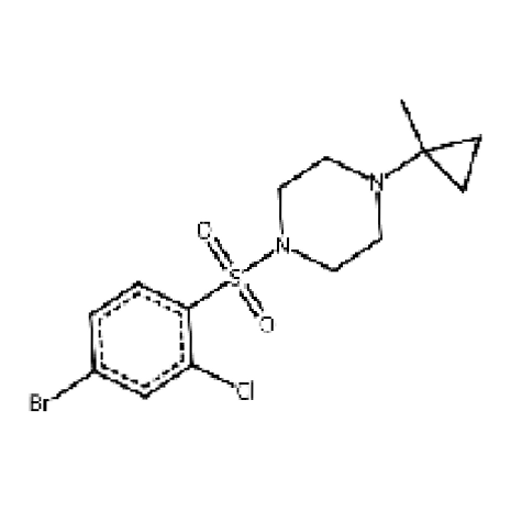 CC1(N2CCN(S(=O)(=O)c3ccc(Br)cc3Cl)CC2)CC1